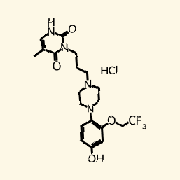 Cc1c[nH]c(=O)n(CCCN2CCN(c3ccc(O)cc3OCC(F)(F)F)CC2)c1=O.Cl